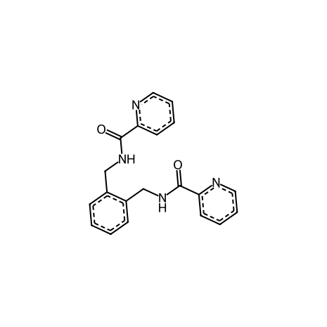 O=C(NCc1ccccc1CNC(=O)c1ccccn1)c1ccccn1